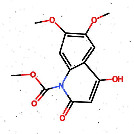 COC(=O)n1c(=O)cc(O)c2cc(OC)c(OC)cc21